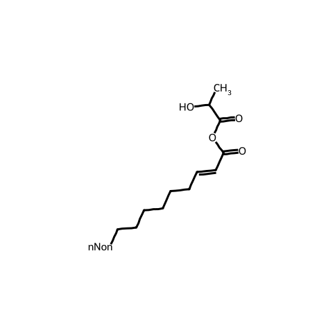 CCCCCCCCCCCCCCCC=CC(=O)OC(=O)C(C)O